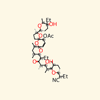 CC[C@@H](C#N)[C@H]1CC[C@H](C)[C@H]([C@@H](C)[C@H](O)[C@H](C)C(=O)[C@H](CC)[C@H]2O[C@]3(C=C[C@@H](OC(C)=O)[C@]4(CC[C@@](C)([C@H]5CC[C@](O)(CC)[C@H](C)O5)O4)O3)[C@H](C)C[C@@H]2C)O1